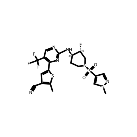 Cc1sc(-c2nc(N[C@@H]3CCN(S(=O)(=O)c4cnn(C)c4)C[C@H]3F)ncc2C(F)(F)F)cc1C#N